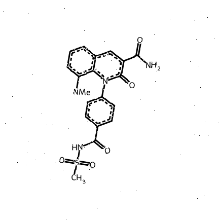 CNc1cccc2cc(C(N)=O)c(=O)n(-c3ccc(C(=O)NS(C)(=O)=O)cc3)c12